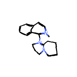 CN1C=Cc2ccccc2C1[N+]1=C2CCCCCN2CCC1